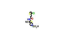 N#Cc1c(NC(=O)C=Cc2sccc2Cl)sc2c1CCN(C(=O)O)C2